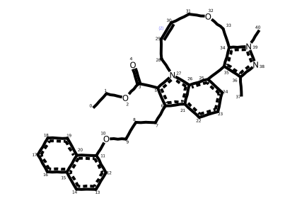 CCOC(=O)c1c(CCCOc2cccc3ccccc23)c2cccc3c2n1C/C=C\COCc1c-3c(C)nn1C